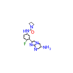 Nc1cnc2nc(-c3cc(NC(=O)N4CCC4)ccc3F)cn2c1